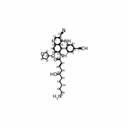 C#Cc1cccc(Nc2c(C#N)cnc3cc(O[C@H]4CCOC4)c(NC(=O)/C=C/CC(O)CCCCCN)cc23)c1